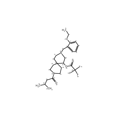 CCOc1ccccc1CN1CCC2(CCN(C(=O)CC(C)C)CC2)C(OC(=O)C(F)(F)F)C1